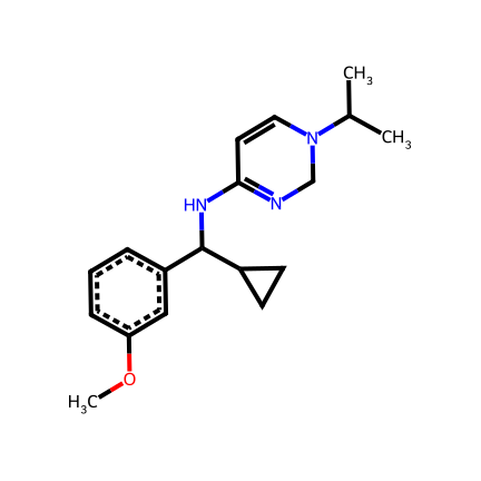 COc1cccc(C(NC2=NCN(C(C)C)C=C2)C2CC2)c1